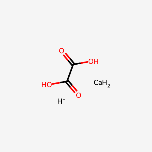 O=C(O)C(=O)O.[CaH2].[H+]